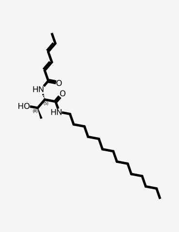 CC=CC=CC(=O)N[C@H](C(=O)NCCCCCCCCCCCCCC)[C@@H](C)O